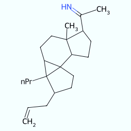 C=CCC1CCC23C4CCC(C(C)=N)C4(C)CCC2C13CCC